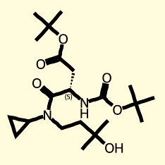 CC(C)(O)CCN(C(=O)[C@H](CC(=O)OC(C)(C)C)NC(=O)OC(C)(C)C)C1CC1